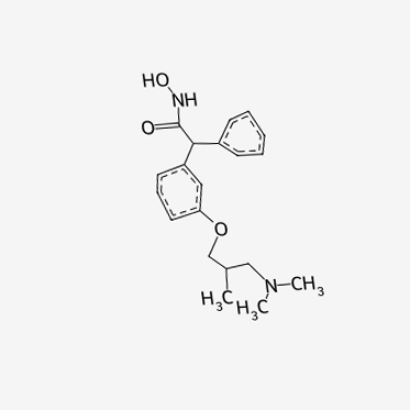 CC(COc1cccc(C(C(=O)NO)c2ccccc2)c1)CN(C)C